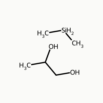 CC(O)CO.C[SiH2]C